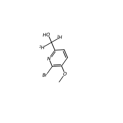 [2H]C([2H])(O)c1ccc(OC)c(Br)n1